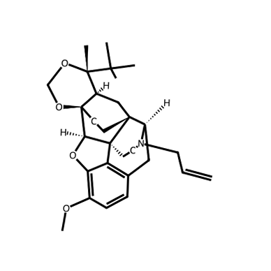 C=CCN1CC[C@]23c4c5ccc(OC)c4O[C@H]2[C@@]24CC[C@@]3(C[C@@H]2[C@@](C)(C(C)(C)C)OCO4)[C@H]1C5